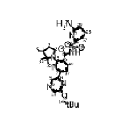 CC1CCN(c2nc(-c3cncc(OCC(C)(C)C)n3)ccc2C(=O)NS(=O)(=O)c2cccc(N)n2)C1(C)C